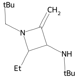 C=C1C(NC(C)(C)C)C(CC)N1CC(C)(C)C